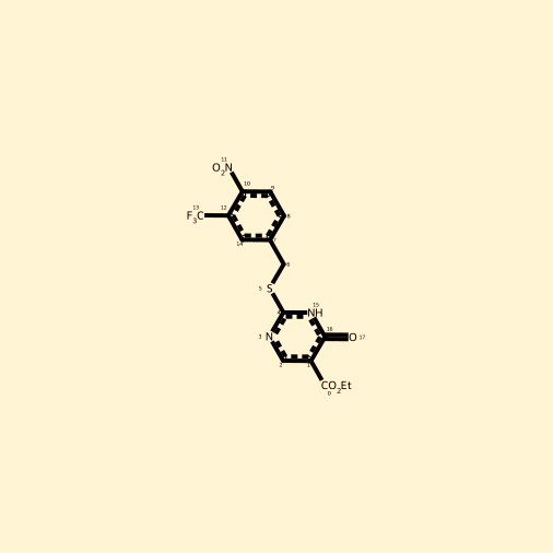 CCOC(=O)c1cnc(SCc2ccc([N+](=O)[O-])c(C(F)(F)F)c2)[nH]c1=O